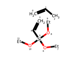 C=CC.C=C[Si](OCC)(OCC)OCC